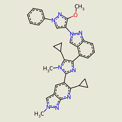 COc1nn(-c2ccccc2)cc1-n1cc2c(-c3nc(-c4cc5cn(C)nc5nc4C4CC4)n(C)c3C3CC3)cccc2n1